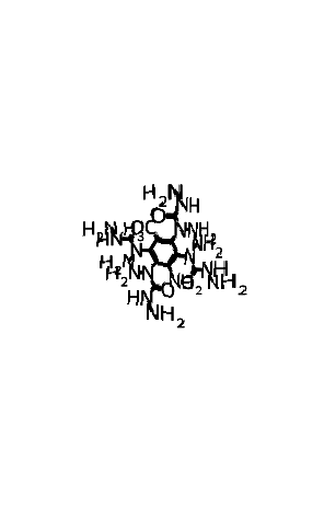 Cc1c(N(N)C(=O)NN)c(N(N)C(=O)NN)c(N)c(N(N)C(=O)NN)c1N(N)C(=O)NN